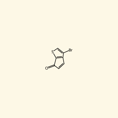 O=C1C=Cc2c(Br)csc21